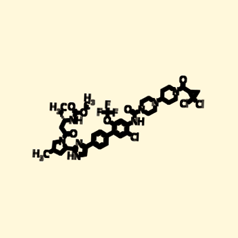 CC[C@@H](CC(=O)N1CC(C)CC1c1nc(-c2ccc(-c3cc(Cl)c(NC(=O)N4CCN(C5CCN(C(=O)C6CC6(Cl)Cl)CC5)CC4)cc3OC(F)(F)F)cc2)c[nH]1)NC(=O)OC